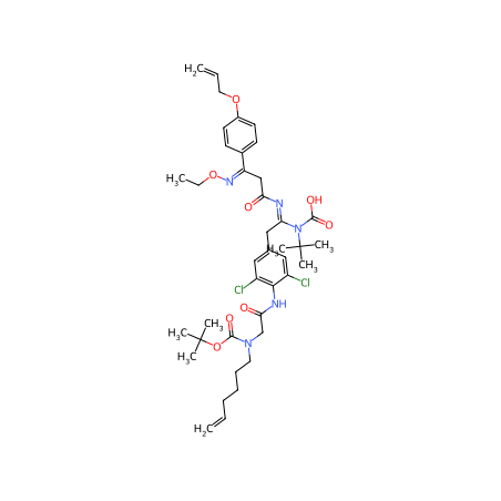 C=CCCCCN(CC(=O)Nc1c(Cl)cc(CC(=NC(=O)CC(=NOCC)c2ccc(OCC=C)cc2)N(C(=O)O)C(C)(C)C)cc1Cl)C(=O)OC(C)(C)C